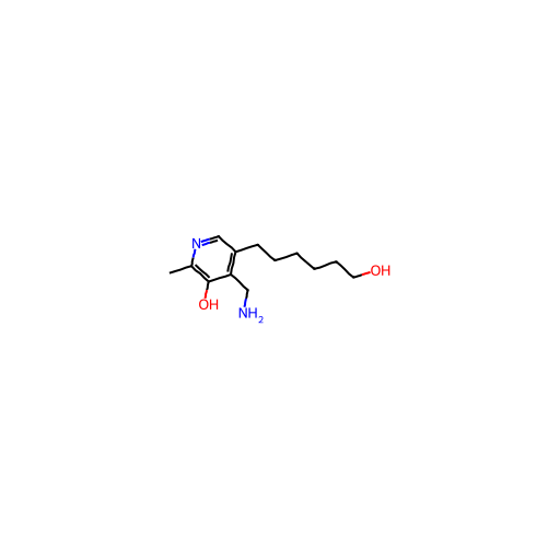 Cc1ncc(CCCCCCO)c(CN)c1O